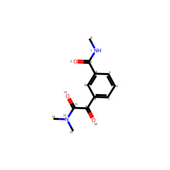 CNC(=O)c1cccc(C(=O)C(=O)N(C)C)c1